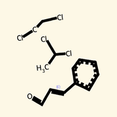 CC(Cl)Cl.ClCCCl.O=C/C=C/c1ccccc1